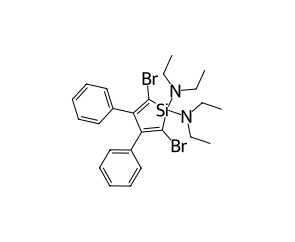 CCN(CC)[Si]1(N(CC)CC)C(Br)=C(c2ccccc2)C(c2ccccc2)=C1Br